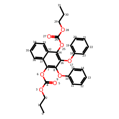 CCCOC(=O)Oc1c(Oc2ccccc2)c(Oc2ccccc2)c(OC(=O)OCCC)c2ccccc12